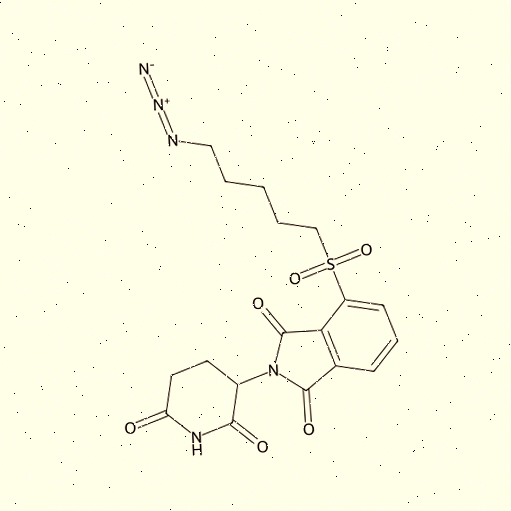 [N-]=[N+]=NCCCCCS(=O)(=O)c1cccc2c1C(=O)N(C1CCC(=O)NC1=O)C2=O